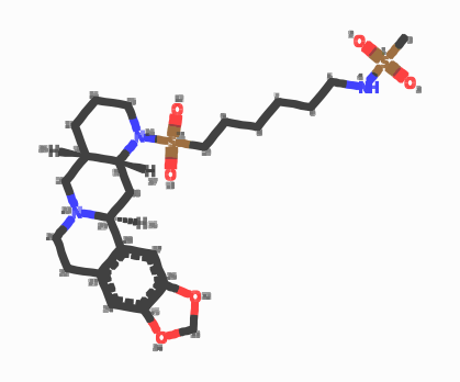 CS(=O)(=O)NCCCCCCS(=O)(=O)N1CCC[C@H]2CN3CCc4cc5c(cc4[C@@H]3C[C@H]21)OCO5